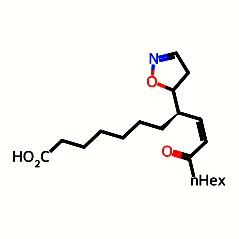 CCCCCCC(=O)/C=C\[C@@H](CCCCCCC(=O)O)C1CC=NO1